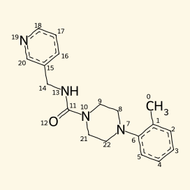 Cc1ccccc1N1CCN(C(=O)NCc2cccnc2)CC1